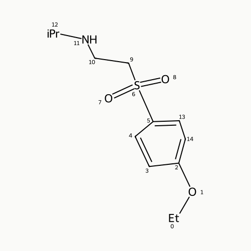 CCOc1ccc(S(=O)(=O)CCNC(C)C)cc1